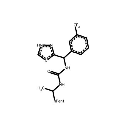 CCCCCC(C)NC(=O)NC(c1cccc(C(F)(F)F)c1)c1nc[nH]n1